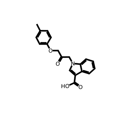 Cc1ccc(OCC(=O)Cn2cc(C(=O)O)c3ccccc32)cc1